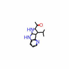 CC(=O)C1NC2Nc3cccnc3C2C1C(C)C